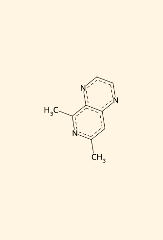 Cc1cc2nccnc2c(C)n1